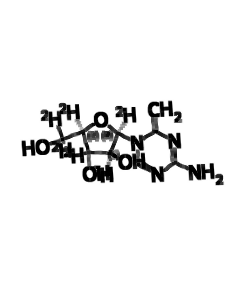 [2H]C([2H])(O)[C@@]1([2H])O[C@@]([2H])(N2C=NC(N)=NC2=C)[C@@]([2H])(O)C1([2H])O